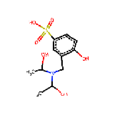 CC(O)N(Cc1cc(S(=O)(=O)O)ccc1O)C(C)O